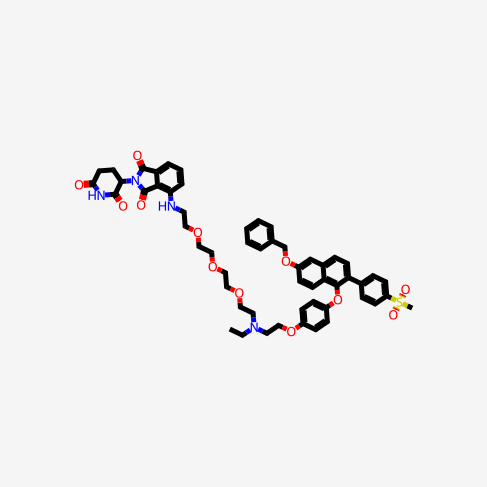 CCN(CCOCCOCCOCCNc1cccc2c1C(=O)N(C1CCC(=O)NC1=O)C2=O)CCOc1ccc(Oc2c(-c3ccc(S(C)(=O)=O)cc3)ccc3cc(OCc4ccccc4)ccc23)cc1